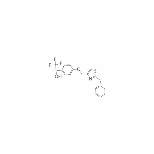 CC(O)(c1ccc(OCc2csc(Cc3ccccc3)n2)cc1)C(F)(F)F